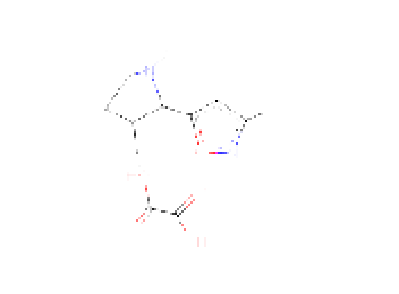 Cc1cc(C2C(C)CCN2C)on1.O=C(O)C(=O)O